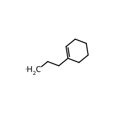 [CH2]CCC1=CCCCC1